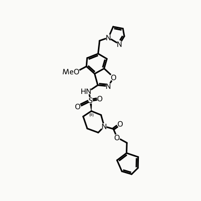 COc1cc(Cn2cccn2)cc2onc(NS(=O)(=O)[C@@H]3CCCN(C(=O)OCc4ccccc4)C3)c12